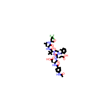 CC(=O)Nc1ccc(C(=O)N[C@@H](CC(=O)O)C(=O)N[C@@H](CCC(=O)O)C(=O)N[C@@H](Cc2ccccc2C)C(=O)N[C@H](C(=O)N[C@@H](CC(C)C)C(=O)NC(C=O)CC(F)(F)F)C(C)(C)C)cc1